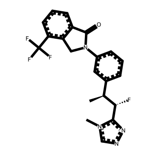 C[C@@H](c1cccc(N2Cc3c(cccc3C(F)(F)F)C2=O)c1)[C@H](F)c1nncn1C